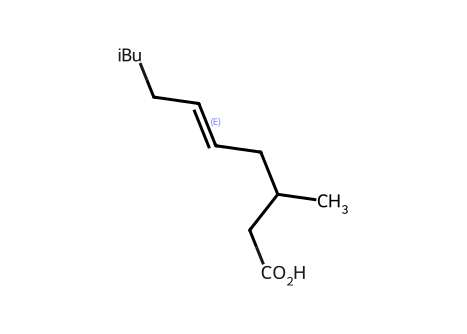 CCC(C)C/C=C/CC(C)CC(=O)O